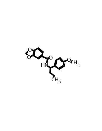 CCCC(NC(=O)c1ccc2c(c1)OCO2)c1ccc(OC)cc1